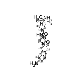 CC(C)(N)C(=O)N1CCN(C(=O)Nc2ccn(C3=CCC(CN4CC5[C@@H](C4)[C@H]5N)CC3)c(=O)n2)CC1